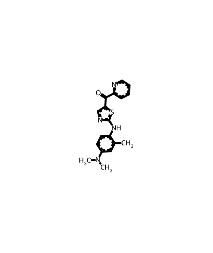 Cc1cc(N(C)C)ccc1Nc1ncc(C(=O)c2ccccn2)s1